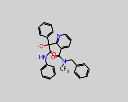 [O]C(C(=O)Nc1ccccc1)(c1ccccc1)c1ncccc1C(=O)N(Cc1ccccc1)C(F)(F)F